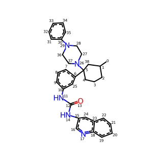 CC1CCCC(c2cccc(NC(=O)Nc3cnc4ccccc4c3)c2)(N2CCN(c3ccccc3)CC2)C1